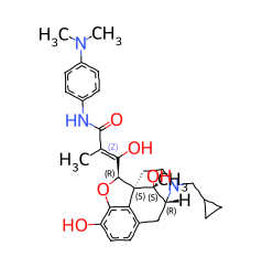 C/C(C(=O)Nc1ccc(N(C)C)cc1)=C(/O)[C@@H]1Oc2c(O)ccc3c2[C@@]12CCN(CC1CC1)[C@H](C3)[C@@]2(C)O